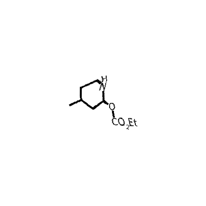 CCOC(=O)OC1CC(C)CCN1